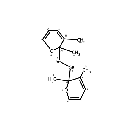 CC1=CC=COC1(C)[Se][Se]C1(C)OC=CC=C1C